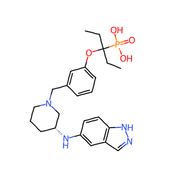 CCC(CC)(Oc1cccc(CN2CCC[C@@H](Nc3ccc4[nH]ncc4c3)C2)c1)P(=O)(O)O